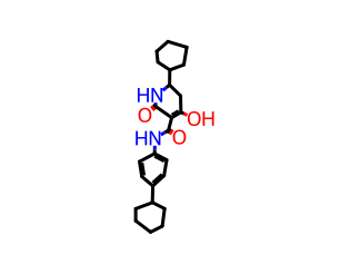 O=C(Nc1ccc(C2CCCCC2)cc1)C1=C(O)CC(C2CCCCC2)NC1=O